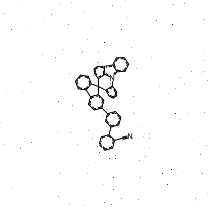 N#Cc1ccccc1-c1cccc(-c2ccc3c(c2)C2(c4ccccc4-3)c3ccccc3-n3c4ccccc4c4cccc2c43)c1